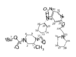 CC1CN(C(=O)OC(C)(C)C)CCN1C(=O)[C@H]1CC[C@@H](Nc2cc(OCCN3CCCCC3)ncc2[N+](=O)[O-])CC1